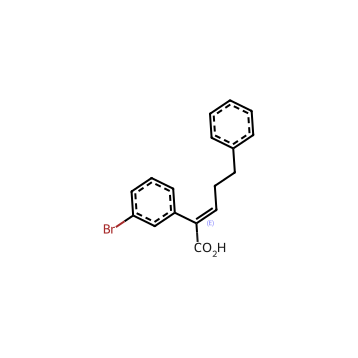 O=C(O)/C(=C/CCc1ccccc1)c1cccc(Br)c1